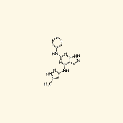 Cc1cc(Nc2nc(Nc3ccccc3)nc3[nH]ncc23)n[nH]1